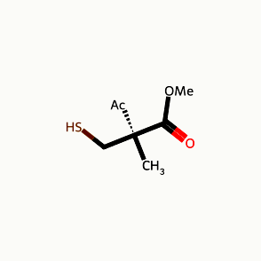 COC(=O)[C@@](C)(CS)C(C)=O